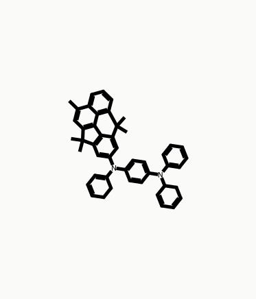 Cc1cc2c3c4c(cccc14)C(C)(C)c1cc(N(C4=CC=CCC4)c4ccc(N(c5ccccc5)C5C=CC=CC5)cc4)cc(c1-3)C2(C)C